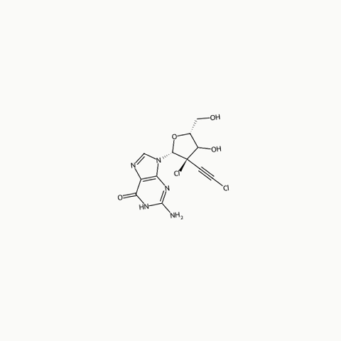 Nc1nc2c(ncn2[C@@H]2O[C@H](CO)C(O)[C@]2(Cl)C#CCl)c(=O)[nH]1